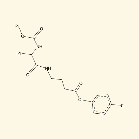 CC(C)OC(=O)NC(C(=O)NCCCC(=O)Oc1ccc(Cl)cc1)C(C)C